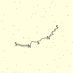 S=C=NCSCN=C=S